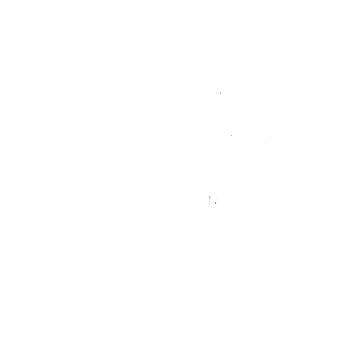 COC(=O)c1cc2cc(O)ccc2n1C